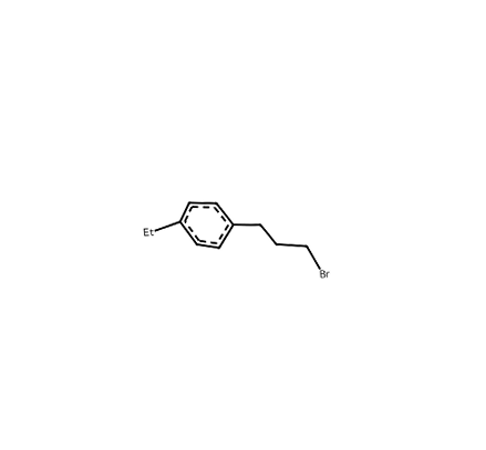 CCc1ccc(CCCBr)cc1